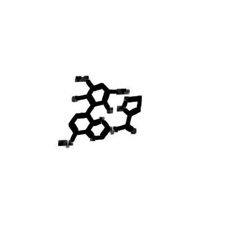 COc1cc(OC)c(Cl)c(-c2ccc(C(=O)O)c3nccnc23)c1Cl.NC(=O)c1ccn[nH]1